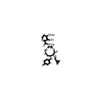 COc1ccnc(C(=O)N[C@H]2COCC[C@H](Cc3ccc(F)cc3)[C@@H](OCC3CC3)[C@H](C)OC2=O)c1O